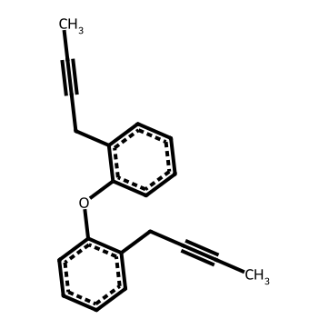 CC#CCc1ccccc1Oc1ccccc1CC#CC